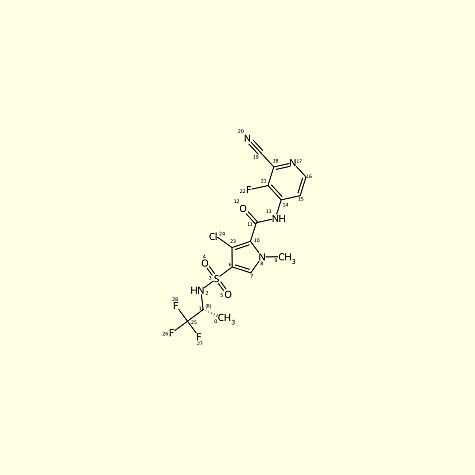 C[C@@H](NS(=O)(=O)c1cn(C)c(C(=O)Nc2ccnc(C#N)c2F)c1Cl)C(F)(F)F